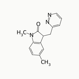 Cc1ccc2c(c1)C(Cc1cccnn1)C(=O)N2C